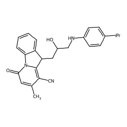 Cc1cc(=O)n2c(c1C#N)C(CC(O)CNc1ccc(C(C)C)cc1)c1ccccc1-2